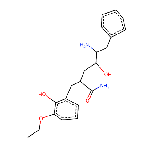 CCOc1cccc(CC(CC(O)C(N)Cc2ccccc2)C(N)=O)c1O